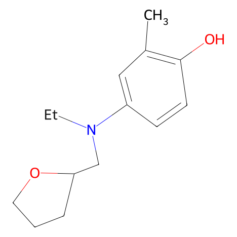 CCN(CC1CCCO1)c1ccc(O)c(C)c1